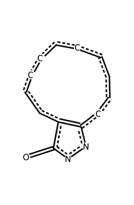 O=c1nnc2ccccccccccc1=2